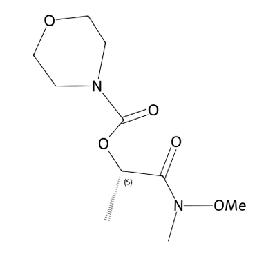 CON(C)C(=O)[C@H](C)OC(=O)N1CCOCC1